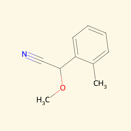 COC(C#N)c1ccccc1C